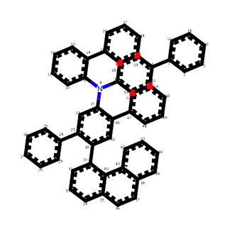 c1ccc(-c2ccc(N(c3ccccc3-c3ccccc3)c3cc(-c4ccccc4)c(-c4cccc5ccc6ccccc6c45)cc3-c3ccccc3)cc2)cc1